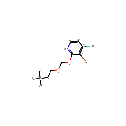 C[Si](C)(C)CCOCOc1nccc(F)c1Br